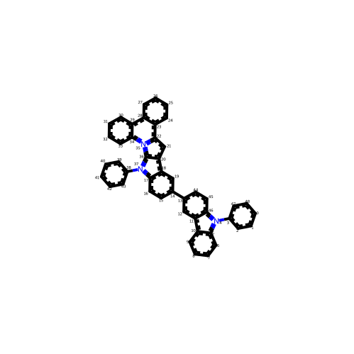 c1ccc(-n2c3ccccc3c3cc(-c4ccc5c(c4)c4cc6c7ccccc7c7ccccc7n6c4n5-c4ccccc4)ccc32)cc1